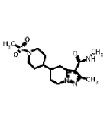 CNC(=O)c1c(C)nn2c1CC(C1CCN(S(C)(=O)=O)CC1)CC2